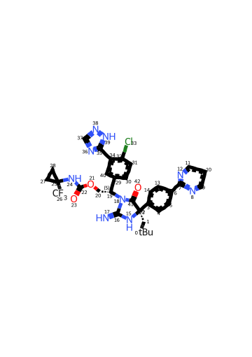 CC(C)(C)C[C@]1(c2ccc(-c3ncccn3)cc2)NC(=N)N([C@H](COC(=O)NC2(C(F)(F)F)CC2)c2ccc(Cl)c(-c3ncn[nH]3)c2)C1=O